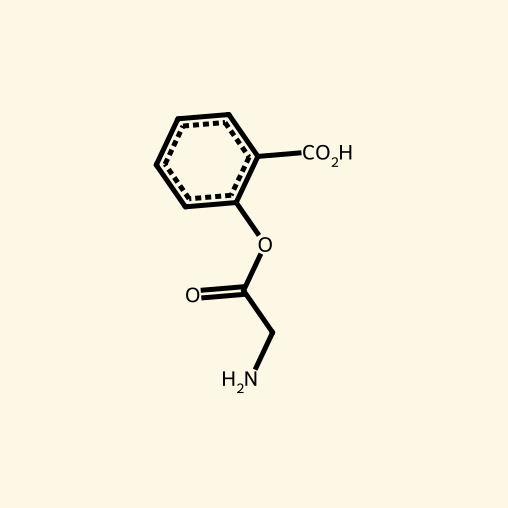 NCC(=O)Oc1ccccc1C(=O)O